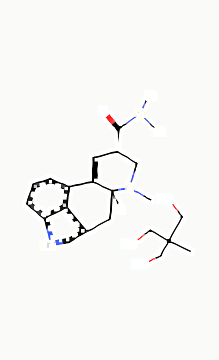 CC(CO)(CO)CO.CCN(CC)C(=O)[C@@H]1C=C2c3cccc4[nH]cc(c34)C[C@H]2N(C)C1